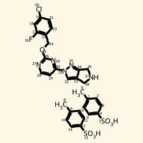 Cc1ccc(S(=O)(=O)O)cc1.Cc1ccc(S(=O)(=O)O)cc1.Fc1cc(Cl)ccc1COc1nccc(-n2cc3c(n2)CNC3)n1